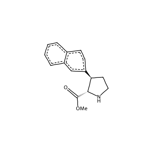 COC(=O)[C@H]1NCC[C@@H]1c1ccc2ccccc2c1